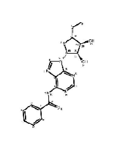 CC[C@H]1S[C@@H](n2cnc3c(NC(=O)c4ccccc4)ncnc32)[C@H](O)[C@@H]1O